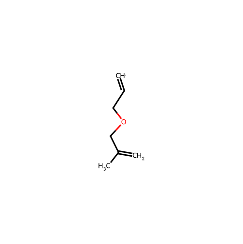 [CH]=CCOCC(=C)C